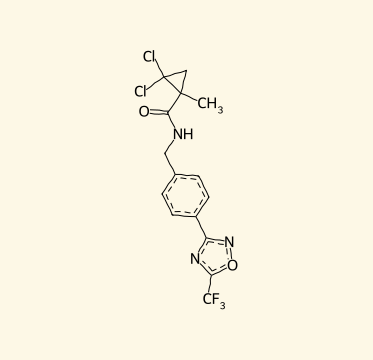 CC1(C(=O)NCc2ccc(-c3noc(C(F)(F)F)n3)cc2)CC1(Cl)Cl